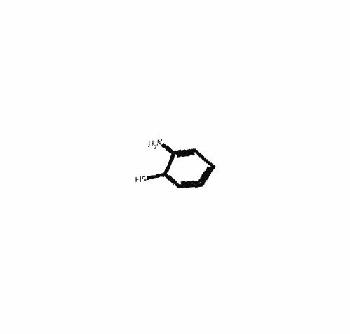 NC1=CC=C=CC1S